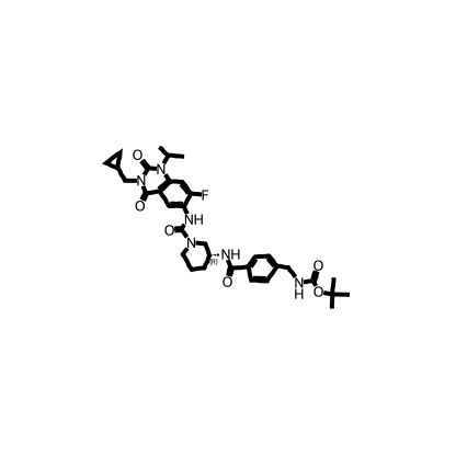 CC(C)n1c(=O)n(CC2CC2)c(=O)c2cc(NC(=O)N3CCC[C@@H](NC(=O)c4ccc(CNC(=O)OC(C)(C)C)cc4)C3)c(F)cc21